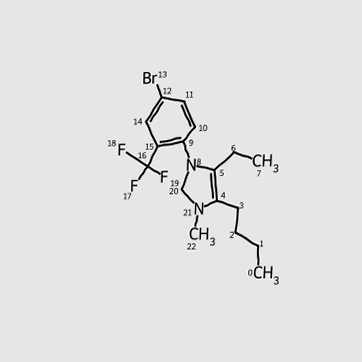 CCCCC1=C(CC)N(c2ccc(Br)cc2C(F)(F)F)CN1C